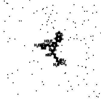 CCCCN(CCCC[N+](C)(C)C)C(=O)CN1C[C@H](c2ccc3c(c2)OCO3)[C@@H](C(=O)O)[C@@H]1CCc1ncc(C)o1